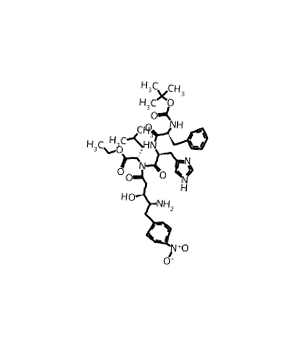 CCOC(=O)[C@H](CC(C)C)N(C(=O)C[C@H](O)[C@@H](N)Cc1ccc([N+](=O)[O-])cc1)C(=O)[C@H](Cc1c[nH]cn1)NC(=O)[C@H](Cc1ccccc1)NC(=O)OC(C)(C)C